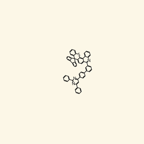 c1ccc(-c2cc(-c3ccc(-c4cccc(-c5nc6ccccc6c6c7c(ccc56)C5(c6ccccc6S7)c6ccccc6-c6ccccc65)c4)cc3)nc(-c3ccccc3)n2)cc1